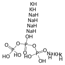 O=P(O)(O)OP(=O)(O)OP(=O)(O)O.[KH].[KH].[KH].[KH].[NaH].[NaH].[NaH].[NaH].[NaH]